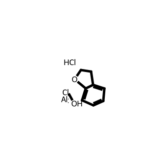 Cl.OCl.[Al].c1ccc2c(c1)CCO2